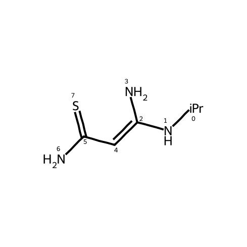 CC(C)NC(N)=CC(N)=S